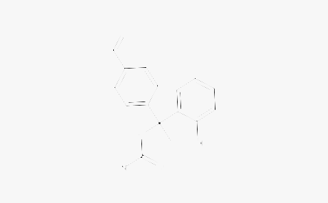 CC(OC(N)=O)(c1ccc(C=O)cc1)c1ccccc1O